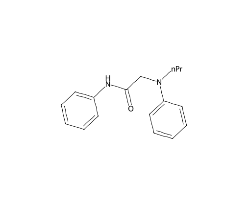 CCCN(CC(=O)Nc1ccccc1)c1ccccc1